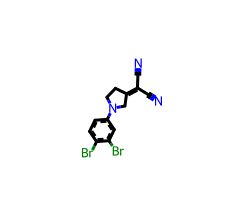 N#CC(C#N)=C1CCN(c2ccc(Br)c(Br)c2)C1